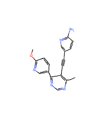 COc1ccc(-c2ncnc(C)c2C#Cc2ccc(N)nc2)cn1